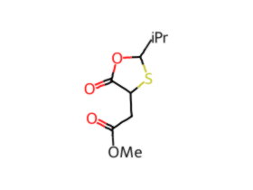 COC(=O)CC1SC(C(C)C)OC1=O